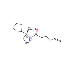 C=CCCCC(=O)N[C@@](CC(C)C)(C(=O)O)C1CCCC1